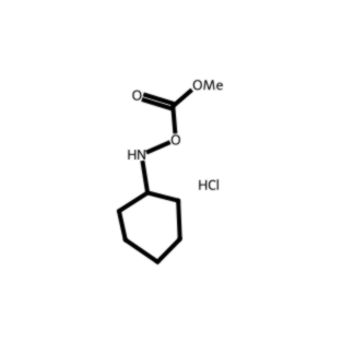 COC(=O)ONC1CCCCC1.Cl